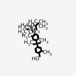 CCC(CC)(c1ccc(CO)c(C)c1)c1ccc(OCC(O[Si](C)(C)C(C)(C)C)C(C)(C)C)c(C)c1